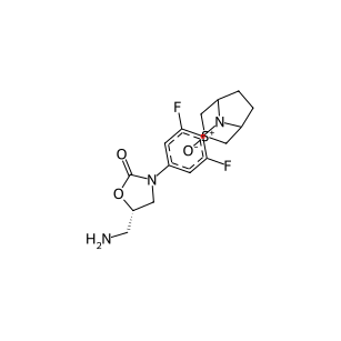 NC[C@H]1CN(c2cc(F)c(N3C4CCC3C[S+]([O-])C4)c(F)c2)C(=O)O1